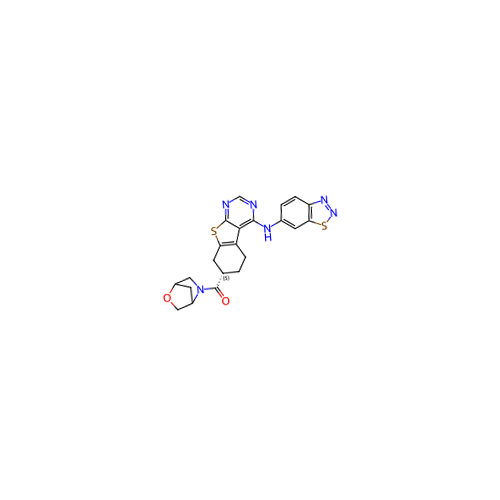 O=C([C@H]1CCc2c(sc3ncnc(Nc4ccc5nnsc5c4)c23)C1)N1CC2CC1CO2